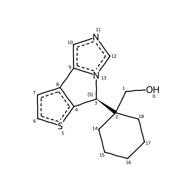 OCC1([C@H]2c3sccc3-c3cncn32)CCCCC1